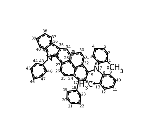 Cc1ccccc1N(c1ccccc1C)c1cc(-c2ccccc2)c2ccc3c4c(ccc1c24)cc1c2ccccc2n(-c2ccccc2)c13